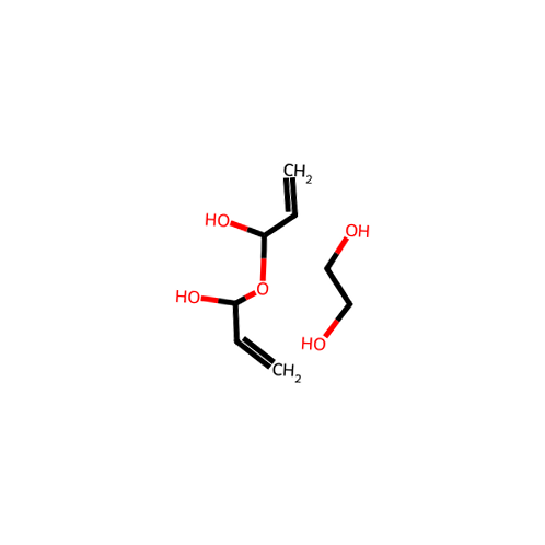 C=CC(O)OC(O)C=C.OCCO